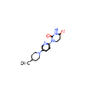 O=CC1CCN(c2ccc(N3CCC(=O)NC3=O)nc2)CC1